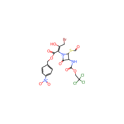 O=CSC1C(NC(=O)OCC(Cl)(Cl)Cl)C(=O)N1C(C(=O)OCc1ccc([N+](=O)[O-])cc1)=C(O)CBr